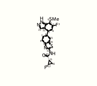 CSc1c(F)cc(-c2ccc3nc(NC(=O)[C@@H]4C[C@@H]4F)sc3c2)c2cn[nH]c12